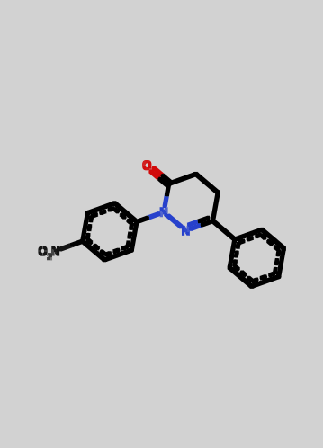 O=C1CCC(c2ccccc2)=NN1c1ccc([N+](=O)[O-])cc1